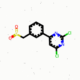 O=[SH](=O)Cc1cccc(-c2cc(Cl)nc(Cl)n2)c1